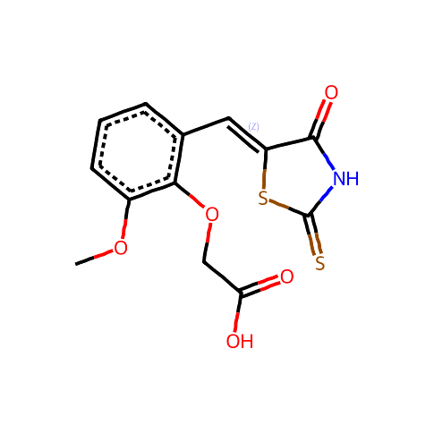 COc1cccc(/C=C2\SC(=S)NC2=O)c1OCC(=O)O